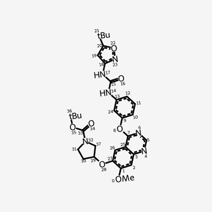 COc1cc2ncnc(Oc3cccc(NC(=O)Nc4cc(C(C)(C)C)on4)c3)c2cc1OC1CCN(C(=O)OC(C)(C)C)C1